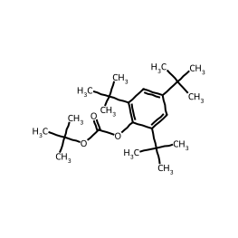 CC(C)(C)OC(=O)Oc1c(C(C)(C)C)cc(C(C)(C)C)cc1C(C)(C)C